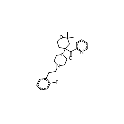 CC1(C)CC(C(=O)c2ccccn2)(N2CCN(CCc3ccccc3F)CC2)CCO1